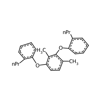 CCCc1ccccc1Oc1ccc(C)c(Oc2ccccc2CCC)c1C